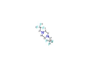 FC(F)(F)CN1CCN(CC(F)(F)F)CC1